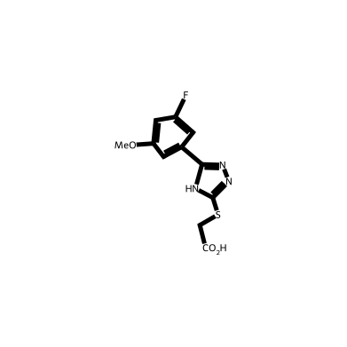 COc1cc(F)cc(-c2nnc(SCC(=O)O)[nH]2)c1